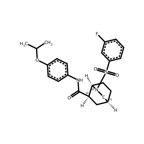 CC(C)Oc1ccc(NC(=O)[C@@H]2C[C@@H]3CC[C@H]2N(S(=O)(=O)c2cccc(F)c2)C3)cc1